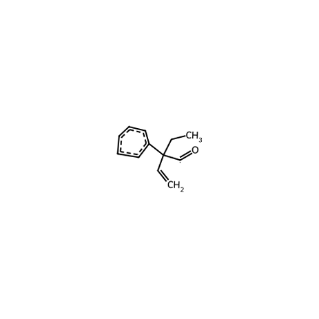 C=CC([C]=O)(CC)c1ccccc1